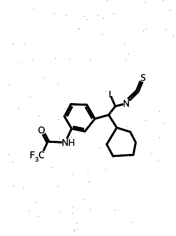 O=C(Nc1cccc(C(C2CCCCC2)C(I)N=C=S)c1)C(F)(F)F